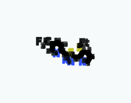 CCSc1cccnc1-c1nnc(-c2ccc(C(F)(F)F)cn2)s1